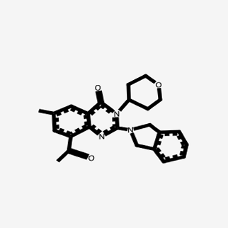 CC(=O)c1cc(C)cc2c(=O)n(C3CCOCC3)c(N3Cc4ccccc4C3)nc12